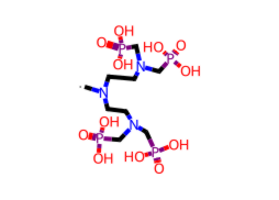 [CH2]N(CCN(CP(=O)(O)O)CP(=O)(O)O)CCN(CP(=O)(O)O)CP(=O)(O)O